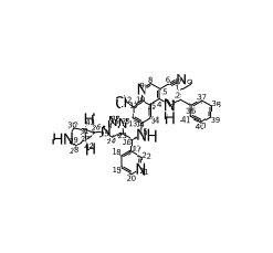 CC[C@@H](Nc1c(C#N)cnc2c(Cl)cc(N[C@@H](c3cccnc3)c3cn(C4[C@H]5CNC[C@@H]45)nn3)cc12)c1ccccc1